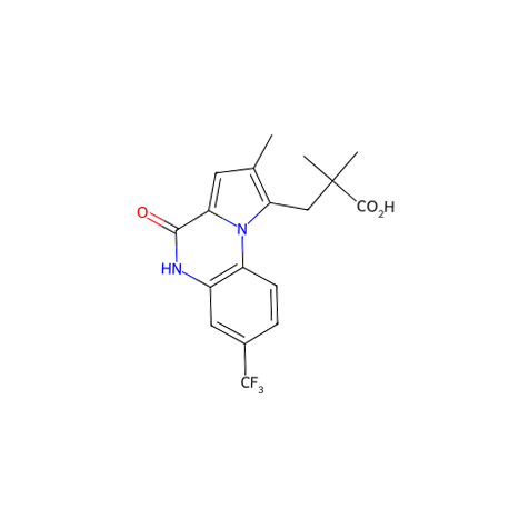 Cc1cc2c(=O)[nH]c3cc(C(F)(F)F)ccc3n2c1CC(C)(C)C(=O)O